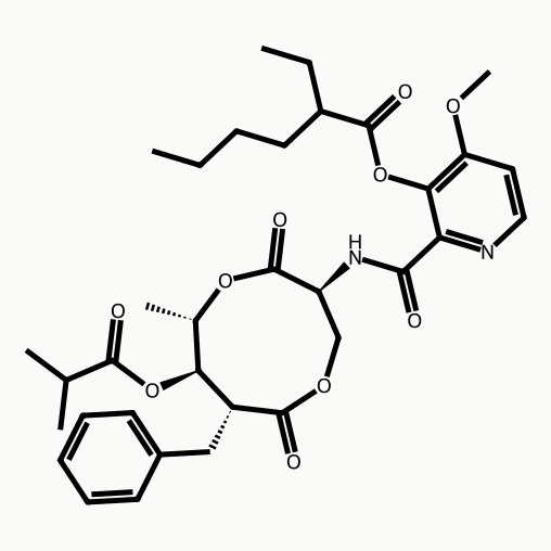 CCCCC(CC)C(=O)Oc1c(OC)ccnc1C(=O)N[C@H]1COC(=O)[C@H](Cc2ccccc2)[C@@H](OC(=O)C(C)C)[C@H](C)OC1=O